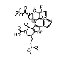 COc1c(F)cccc1Nc1c(-c2ccncc2OCC2CN(C(=O)OC(C)(C)C)C2)[nH]c2c1C(=O)N(C(=O)O)CC2CCC(OC)OC